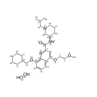 COCCOc1cc(C(=O)N[C@@H]2CCCN(CC(C)C)C2)nc2c(OCC3CCCCC3)cccc12.Cl.Cl